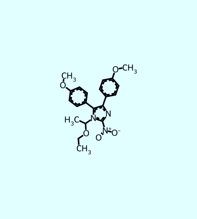 CCOC(C)n1c([N+](=O)[O-])nc(-c2ccc(OC)cc2)c1-c1ccc(OC)cc1